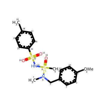 COc1ccc(CN(C)[SH](C)(=O)NS(=O)(=O)c2ccc(C)cc2)cc1